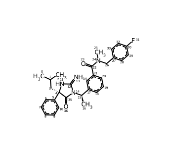 CC(C)C[C@]1(c2ccccc2)NC(=N)N([C@H](C)c2cccc(C(=O)N(C)Cc3ccc(F)cc3)c2)C1=O